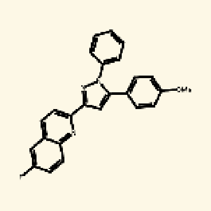 COc1ccc(-c2cc(-c3ccc4cc(F)ccc4n3)nn2-c2ccccc2)cc1